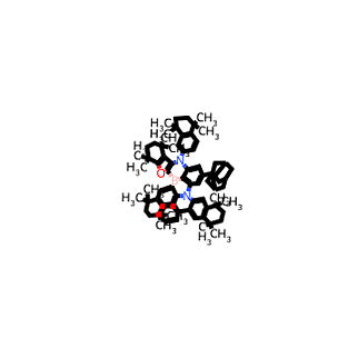 CC1(C)CCC(C)(C)c2cc(N3c4cc(C56CC7CC(CC(C7)C5)C6)cc5c4B(c4cc6c(cc4N5c4cc5c(cc4-c4ccccc4)C(C)(C)CCC5(C)C)C(C)(C)CCC6(C)C)c4oc5c(c43)C(C)(C)CCC5(C)C)ccc21